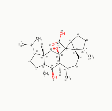 CC(C)[C@H]1CC[C@]2(C)[C@H](O)[C@@H]3[C@@H](C)CC[C@@]45C(CC[C@@H]4C)C5(C(=O)O)[C@@]3(O)C[C@@H]12